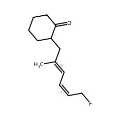 C/C(=C\C=C/CF)CC1CCCCC1=O